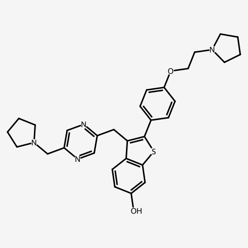 Oc1ccc2c(Cc3cnc(CN4CCCC4)cn3)c(-c3ccc(OCCN4CCCC4)cc3)sc2c1